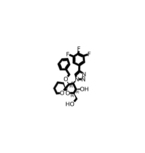 OC[C@H]1O[C@@]2(CCCCO2)[C@H](OCc2ccccc2)[C@@H](n2cc(-c3cc(F)c(F)c(F)c3)nn2)[C@H]1O